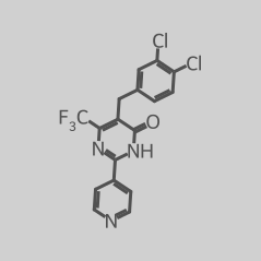 O=c1[nH]c(-c2ccncc2)nc(C(F)(F)F)c1Cc1ccc(Cl)c(Cl)c1